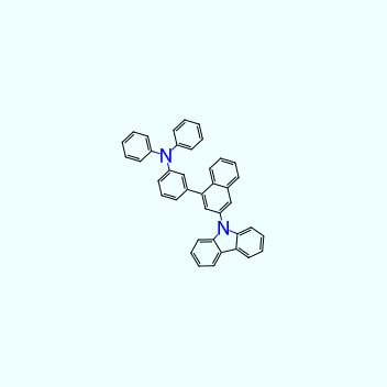 c1ccc(N(c2ccccc2)c2cccc(-c3cc(-n4c5ccccc5c5ccccc54)cc4ccccc34)c2)cc1